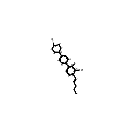 CCC/C=C/c1ccc(-c2ccc(C3CCC(F)CC3)cc2)c(F)c1F